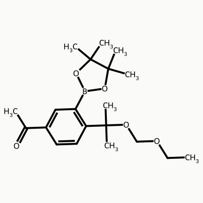 CCOCOC(C)(C)c1ccc(C(C)=O)cc1B1OC(C)(C)C(C)(C)O1